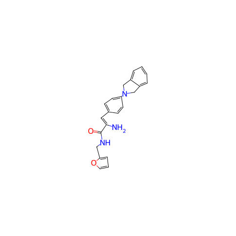 N/C(=C\c1ccc(N2Cc3ccccc3C2)cc1)C(=O)NCc1ccco1